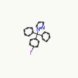 Ic1ccc(C(c2ccccc2)(c2ccccc2)n2cccn2)cc1